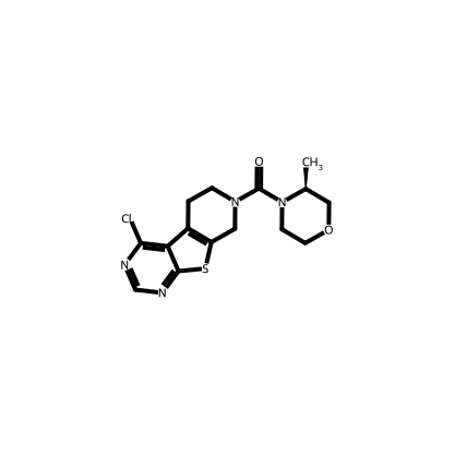 C[C@H]1COCCN1C(=O)N1CCc2c(sc3ncnc(Cl)c23)C1